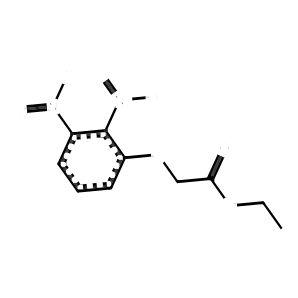 CCOC(=O)COc1cccc([N+](=O)[O-])c1[N+](=O)[O-]